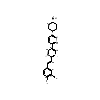 CCCC[C@H]1CC[C@H](c2ccc(-c3cnc(C=Cc4ccc(F)c(F)c4)nc3)cc2)CC1